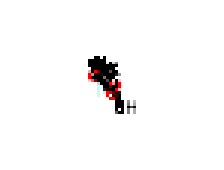 C#CCOC(=O)C(F)CCP(=O)(c1ccccc1)c1ccccc1